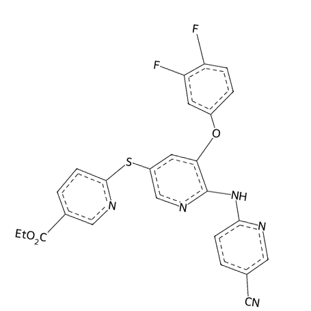 CCOC(=O)c1ccc(Sc2cnc(Nc3ccc(C#N)cn3)c(Oc3ccc(F)c(F)c3)c2)nc1